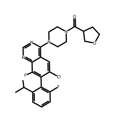 CC(C)c1cccc(F)c1-c1c(Cl)cc2c(N3CCN(C(=O)C4CCOC4)CC3)ncnc2c1F